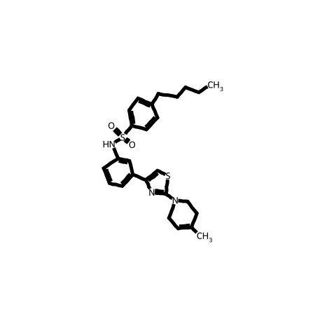 CCCCCc1ccc(S(=O)(=O)Nc2cccc(-c3csc(N4CC=C(C)CC4)n3)c2)cc1